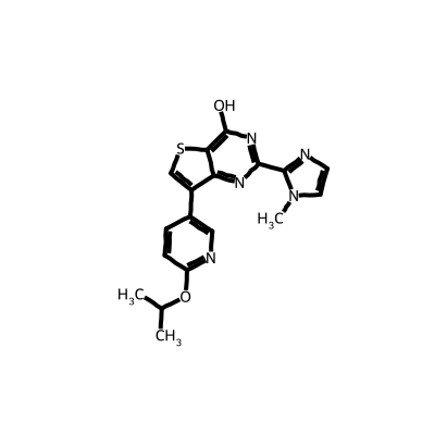 CC(C)Oc1ccc(-c2csc3c(O)nc(-c4nccn4C)nc23)cn1